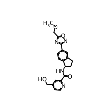 COCc1nc(-c2ccc3c(c2)CC[C@H]3NC(=O)c2cc(CO)ccn2)no1